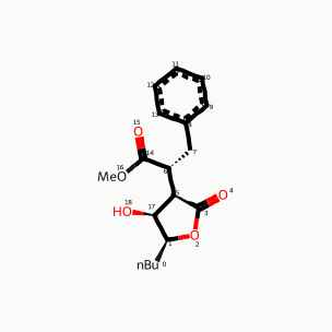 CCCC[C@@H]1OC(=O)[C@H]([C@@H](Cc2ccccc2)C(=O)OC)[C@@H]1O